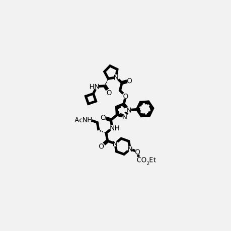 CCOC(=O)ON1CCN(C(=O)[C@H](CCNC(C)=O)NC(=O)c2cc(OCC(=O)N3CCC[C@H]3C(=O)NC3CCC3)n(-c3ccccc3)n2)CC1